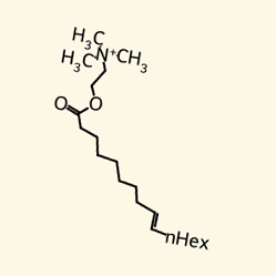 CCCCCCC=CCCCCCCCC(=O)OCC[N+](C)(C)C